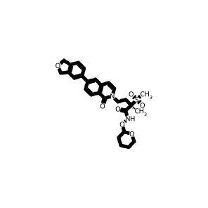 C[C@@](CCn1ccc2cc(-c3ccc4c(c3)COC4)ccc2c1=O)(C(=O)NOC1CCCCO1)S(C)(=O)=O